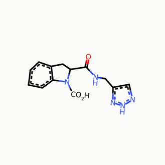 O=C(NCc1cn[nH]n1)C1Cc2ccccc2N1C(=O)O